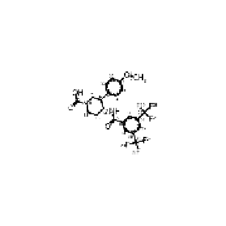 COc1ccc([C@@H]2CN(C(=O)O)CC[C@H]2NC(=O)c2cc(C(F)(F)F)cc(C(F)(F)F)c2)cc1